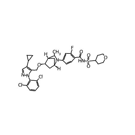 C[C@@H]1[C@@H]2C[C@@H](C[C@H]2OCc2c(C3CC3)cnn2-c2c(Cl)cccc2Cl)N1c1ccc(C(=O)NS(=O)(=O)C2CCOCC2)c(F)c1